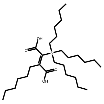 CCCCCC/C(C(=O)O)=C(\C(=O)O)[Si](CCCCCC)(CCCCCC)CCCCCC